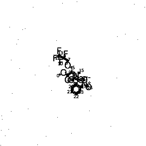 COC(=O)[C@H](COCC(F)(F)C(F)F)N(C)S(=O)(=O)c1ccccc1[N+](=O)[O-]